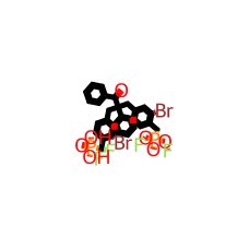 O=C(c1ccccc1)C(Cc1ccc(CP(=O)(OF)OF)c(Br)c1)(Cc1ccc(C(F)(F)P(=O)(O)O)c(Br)c1)c1ccccc1